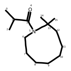 CC(C)C(=O)N1CCCCCCCC1(C)C